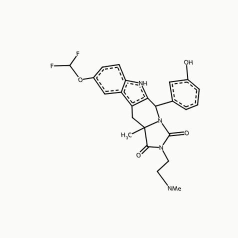 CNCCN1C(=O)N2C(c3cccc(O)c3)c3[nH]c4ccc(OC(F)F)cc4c3CC2(C)C1=O